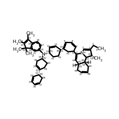 CCC1=CN2C(C3C=CC=C([C@H]4C=C[C@@H](N(c5ccc6c(c5)C(C)(C)C(C)=C6C)[C@@H]5CC=C([C@H]6C=CC=CC6)CC5)CC4)C3)=C[C@H]3CC=CC[C@H]3C2[C@H]1C